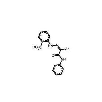 CC(=O)/C(=N/Nc1ccccc1C(=O)O)C(=O)Nc1ccccc1